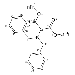 CCCOC(=O)C(C(=O)OCCC)N(Cc1ccccc1)Cc1ccccc1